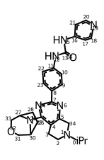 CC(C)N1CCc2c(nc(-c3ccc(NC(=O)Nc4ccncc4)cc3)nc2N2C3CCC2COC3)C1